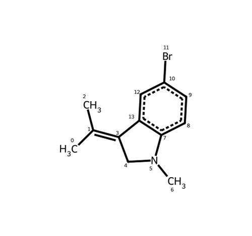 CC(C)=C1CN(C)c2ccc(Br)cc21